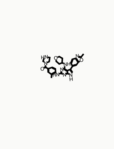 Cc1nc2ccc(-c3c[nH]c4nc(Nc5ccc(C(=O)N6CCNCC6)cc5C)nc(NC5CCOCC5)c34)cc2o1